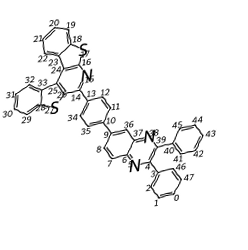 c1ccc(-c2nc3ccc(-c4ccc(-c5nc6sc7ccccc7c6c6c5sc5ccccc56)cc4)cc3nc2-c2ccccc2)cc1